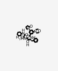 C[C@H](NC[C@H](O)[C@H](Cc1ccccc1)NC(=O)c1cc(N2CCOCC2)cc(N2CCCC2=O)c1)C(=O)NC1CCCCC1